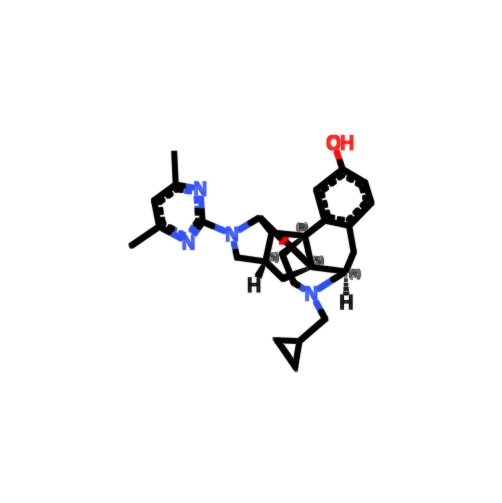 Cc1cc(C)nc(N2C[C@H]3C[C@@]45CCC2C3[C@@]42CCN(CC3CC3)[C@@H]5Cc3ccc(O)cc32)n1